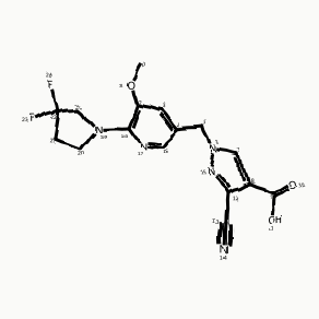 COc1cc(Cn2cc(C(=O)O)c(C#N)n2)cnc1N1CCC(F)(F)C1